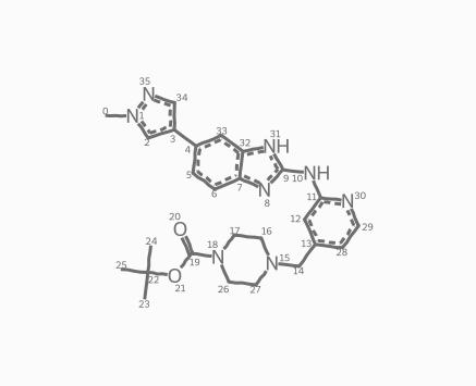 Cn1cc(-c2ccc3nc(Nc4cc(CN5CCN(C(=O)OC(C)(C)C)CC5)ccn4)[nH]c3c2)cn1